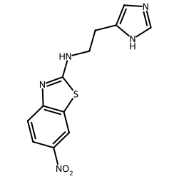 O=[N+]([O-])c1ccc2nc(NCCc3cnc[nH]3)sc2c1